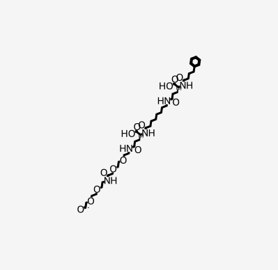 O=[C]COCCOCCNC(=O)COCCOCCNC(=O)CC[C@H](NC(=O)CCCCCCCNC(=O)CC[C@H](NC(=O)CCCc1ccccc1)C(=O)O)C(=O)O